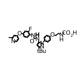 Cc1cc(Oc2ccc(NC(=O)Nc3cc(C(C)(C)C)nn3-c3ccc(OCCNC(=O)O)cc3)c(F)c2)ccn1